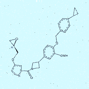 COc1cc(C2CN(C(=O)c3cc(OC[C@H]4CO4)ccn3)C2)ccc1OCc1ccc(C2CC2)cc1